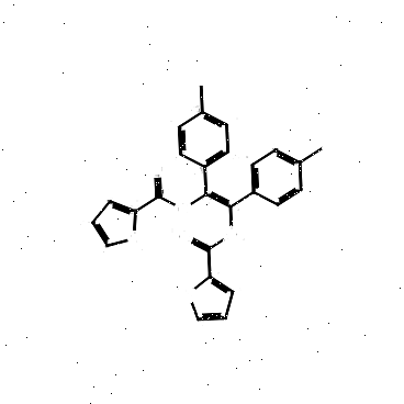 Cc1ccc(C(OC(=O)c2cccs2)=C(OC(=O)c2cccs2)c2ccc(C)cc2)cc1